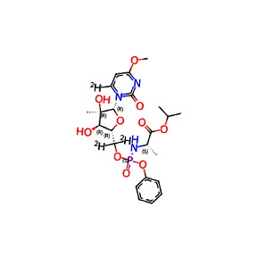 [2H]c1cc(OC)nc(=O)n1[C@@H]1O[C@H](C([2H])([2H])O[P@@](=O)(N[C@@H](C)C(=O)OC(C)C)Oc2ccccc2)[C@@H](O)[C@@]1(C)O